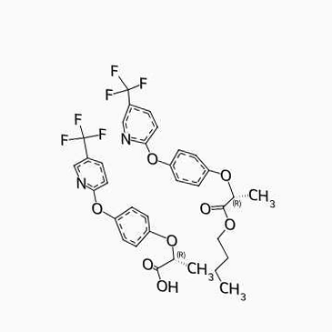 CCCCOC(=O)[C@@H](C)Oc1ccc(Oc2ccc(C(F)(F)F)cn2)cc1.C[C@@H](Oc1ccc(Oc2ccc(C(F)(F)F)cn2)cc1)C(=O)O